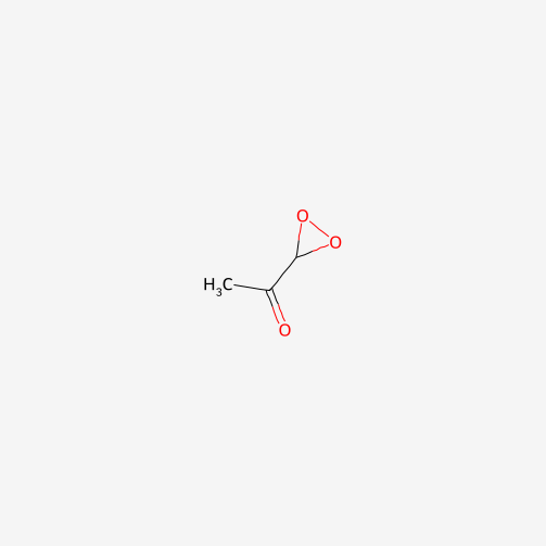 CC(=O)C1OO1